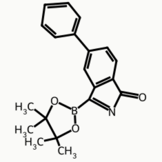 CC1(C)OB(C2=NC(=O)c3ccc(-c4ccccc4)cc32)OC1(C)C